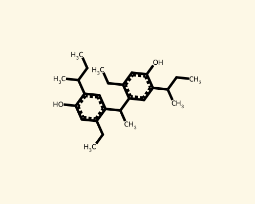 CCc1cc(O)c(C(C)CC)cc1C(C)c1cc(C(C)CC)c(O)cc1CC